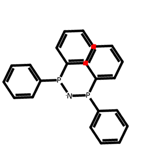 c1ccc(P([N]P(c2ccccc2)c2ccccc2)c2ccccc2)cc1